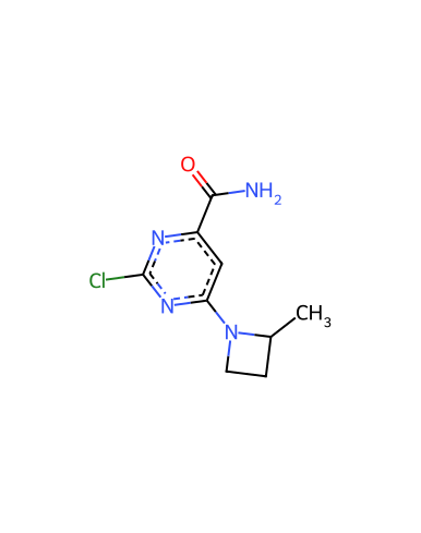 CC1CCN1c1cc(C(N)=O)nc(Cl)n1